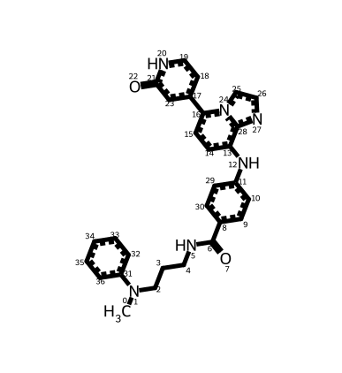 CN(CCCNC(=O)c1ccc(Nc2ccc(-c3cc[nH]c(=O)c3)n3ccnc23)cc1)c1ccccc1